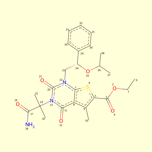 CCOC(=O)c1sc2c(c1C)c(=O)n(C(C)(C)C(N)=O)c(=O)n2C[C@@H](OC(C)C)c1ccccc1